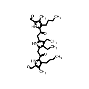 CCCCc1c(C(=O)Cc2[nH]c(CC(=O)c3[nH]c(C=O)c(C)c3CCCC)c(CC)c2CC)[nH]c(C=O)c1C